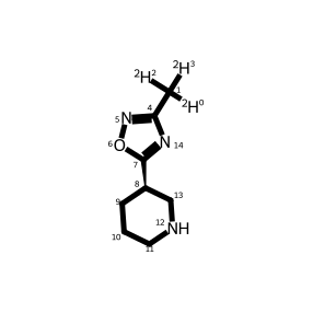 [2H]C([2H])([2H])c1noc([C@@H]2CCCNC2)n1